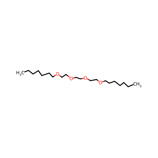 CCCCCCCOCCOCCOCCOCCCCCCC